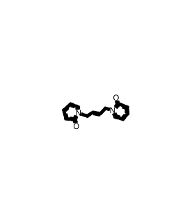 O=c1ccccn1CC=CCn1ccccc1=O